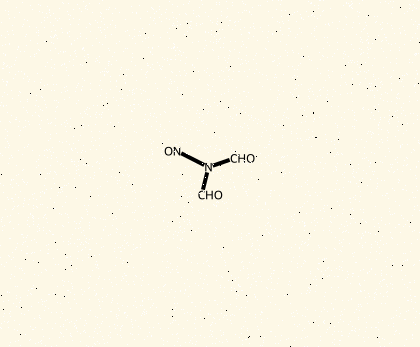 O=CN(C=O)N=O